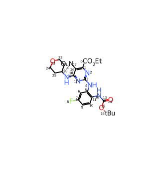 CCOC(=O)c1nc(Nc2cc(F)ccc2NC(=O)OC(C)(C)C)nc(NC2CCOCC2)c1[N+](=O)[O-]